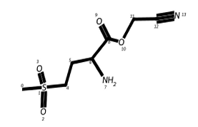 CS(=O)(=O)CCC(N)C(=O)OCC#N